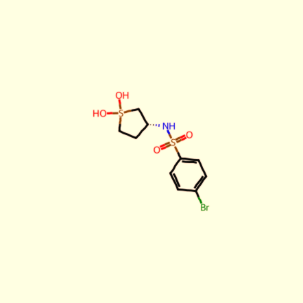 O=S(=O)(N[C@@H]1CCS(O)(O)C1)c1ccc(Br)cc1